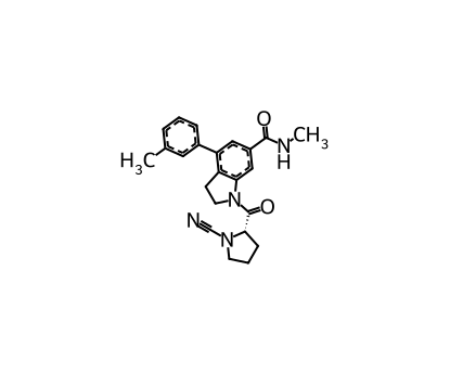 CNC(=O)c1cc(-c2cccc(C)c2)c2c(c1)N(C(=O)[C@@H]1CCCN1C#N)CC2